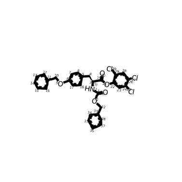 O=C(N[C@@H](Cc1ccc(OCc2ccccc2)cc1)C(=O)Oc1cc(Cl)c(Cl)cc1Cl)OCc1ccccc1